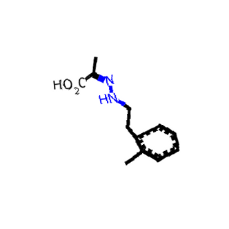 C/C(=N/NCCc1ccccc1C)C(=O)O